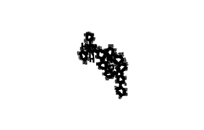 c1ccc(-c2ccc3c4ccccc4n(-c4cccc5c4oc4c(-n6c7ccccc7c7ccccc76)c(-c6cccc(C7=NC(c8ccccc8)NC(c8ccccc8)N7)c6)ccc45)c3c2)cc1